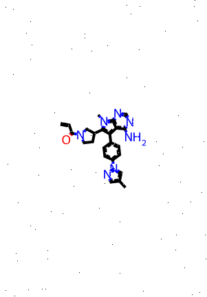 C=CC(=O)N1CCC(c2c(-c3ccc(-n4cc(C)cn4)cc3)c3c(N)ncnc3n2C)C1